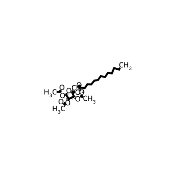 CCCCCCCCCCCCC(=O)O[C@@]1(C)O[C@@H](OC(C)=O)[C@H](OC(C)=O)[C@H]1OC(C)=O